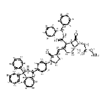 CC(C)(C)OC(=O)N[C@@H]1C(=O)N2C(C(=O)OC(c3ccccc3)c3ccccc3)=C(/C=C3\CCN(c4ccc(C(=O)NC(c5ccccc5)(c5ccccc5)c5ccccc5)cc4)C3=O)CS[C@H]12